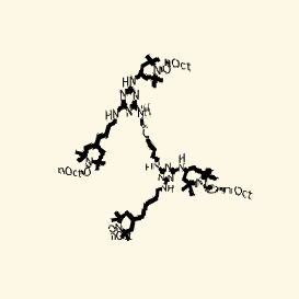 CCCCCCCCON1C(C)(C)CC(CCCCNc2nc(NCCCCCCNc3nc(NCCCCC4CC(C)(C)N(OCCCCCCCC)C(C)(C)C4)nc(NC4CC(C)(C)N(OCCCCCCCC)C(C)(C)C4)n3)nc(NC3CC(C)(C)N(OCCCCCCCC)C(C)(C)C3)n2)CC1(C)C